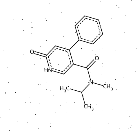 CC(C)N(C)C(=O)c1c[nH]c(=O)cc1-c1ccccc1